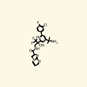 CC(C)(N)c1cc(-c2ccc(F)c(Cl)c2)nc(C(O)(CNC(=O)c2cn3cccnc3n2)C(F)(F)F)c1